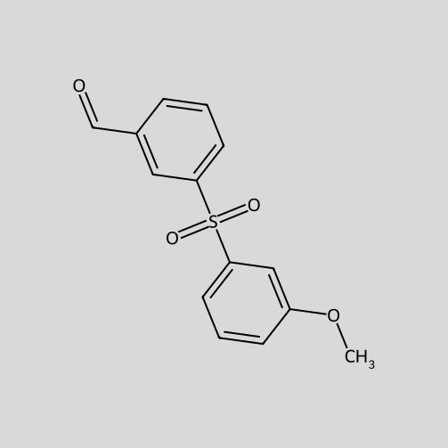 COc1cccc(S(=O)(=O)c2cccc(C=O)c2)c1